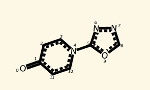 O=c1ccn(-c2nnco2)cc1